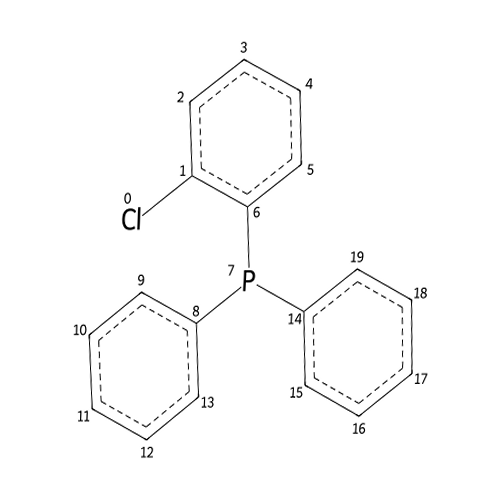 Clc1ccccc1P(c1ccccc1)c1ccccc1